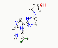 C=N/C(=C\n1c(-c2nccc(N3CCC(O)C3)n2)cnc1C)C(F)F